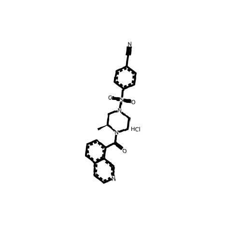 C[C@H]1CN(S(=O)(=O)c2ccc(C#N)cc2)CCN1C(=O)c1cccc2ccncc12.Cl